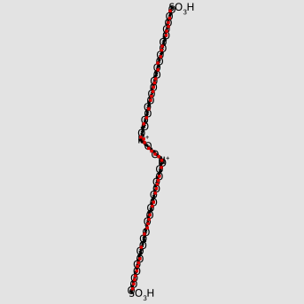 C[N+](C)(CCCOCCCCOCCC[N+](C)(C)OCCOCCOCCOCCOCCOCCOCCOCCOCCOCCCCOCCOCCOCCOCCOCCOCCOCCOCCOCCOS(=O)(=O)O)CCOCCOCCOCCOCCOCCOCCOCCOCCOCCOCCOCCOCCOCCOCCOCCOCCOCCOCCOCCOS(=O)(=O)O